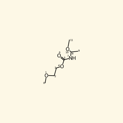 COCCOC(=O)NC(C)OC